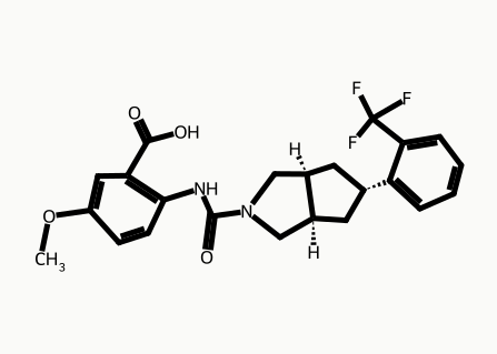 COc1ccc(NC(=O)N2C[C@H]3C[C@H](c4ccccc4C(F)(F)F)C[C@H]3C2)c(C(=O)O)c1